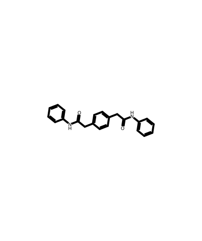 O=C(Cc1ccc(CC(=O)Nc2ccccc2)cc1)Nc1ccccc1